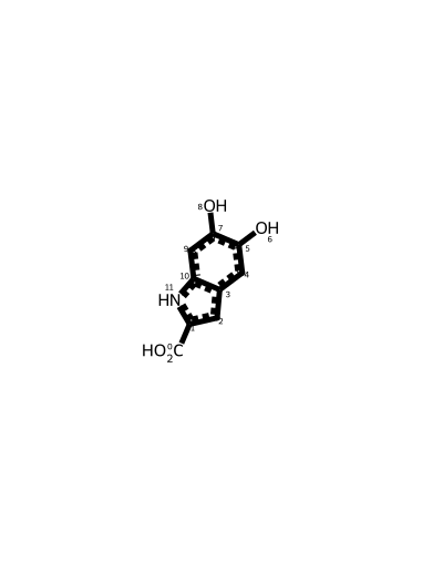 O=C(O)c1cc2cc(O)c(O)cc2[nH]1